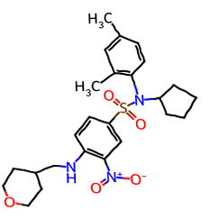 Cc1ccc(N(C2CCCC2)S(=O)(=O)c2ccc(NCC3CCOCC3)c([N+](=O)[O-])c2)c(C)c1